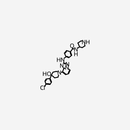 O=C(NC1CCNCC1)c1ccc(Nc2nc3c(N4CCC(O)(c5ccc(Cl)cc5)CC4)cccn3n2)cc1